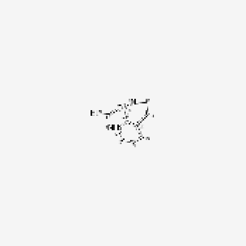 CCC(N)=O.c1ccc2cnccc2c1